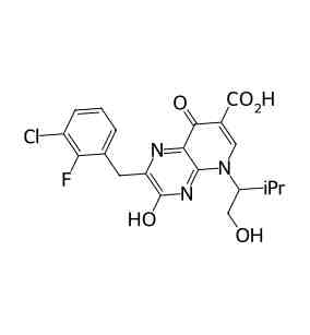 CC(C)C(CO)n1cc(C(=O)O)c(=O)c2nc(Cc3cccc(Cl)c3F)c(O)nc21